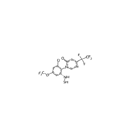 O=c1cc(C(F)(F)C(F)(F)F)ncn1-c1c(Cl)cc(OC(F)(F)F)cc1NS